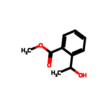 COC(=O)c1ccccc1C(C)O